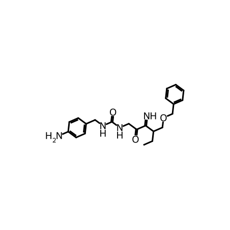 CCC(COCc1ccccc1)C(=N)C(=O)CNC(=O)NCc1ccc(N)cc1